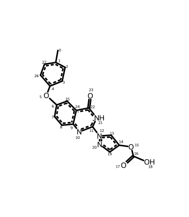 Cc1ccc(Oc2ccc3nc(-n4cc(OC(=O)O)cn4)[nH]c(=O)c3c2)cc1